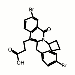 O=C(O)CCc1c(Cc2ccc(Br)cc2)n(C2CCC2)c(=O)c2cc(Br)ccc12